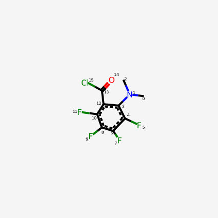 CN(C)c1c(F)c(F)c(F)c(F)c1C(=O)Cl